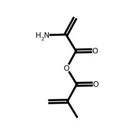 C=C(C)C(=O)OC(=O)C(=C)N